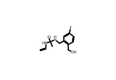 C=CNC(C)(CC)NCc1cc(F)ccc1CO